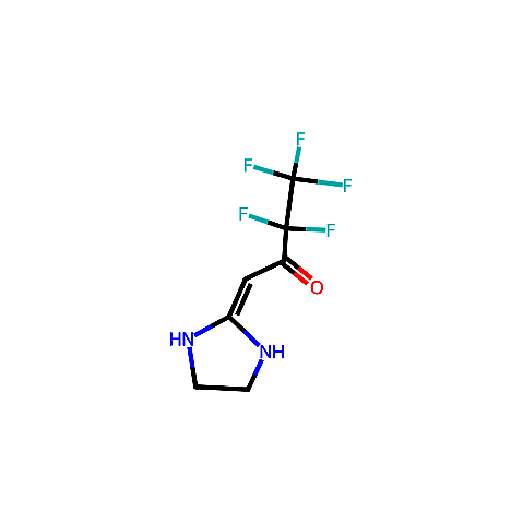 O=C(C=C1NCCN1)C(F)(F)C(F)(F)F